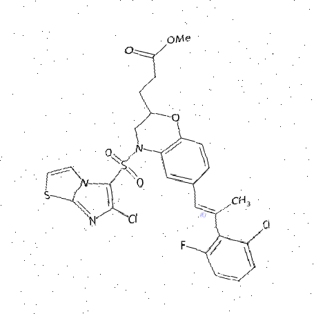 COC(=O)CCC1CN(S(=O)(=O)c2c(Cl)nc3sccn23)c2cc(/C=C(\C)c3c(F)cccc3Cl)ccc2O1